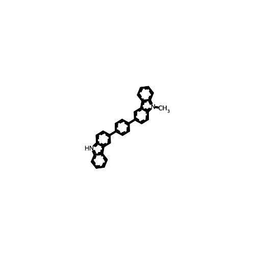 Cn1c2ccccc2c2cc(-c3ccc(-c4ccc5[nH]c6ccccc6c5c4)cc3)ccc21